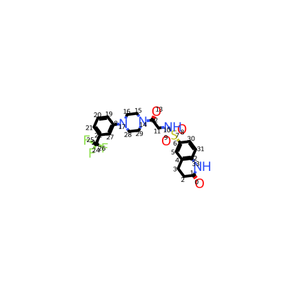 O=C1CCc2cc(S(=O)(=O)NCC(=O)N3CCN(c4cccc(C(F)(F)F)c4)CC3)ccc2N1